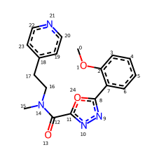 COc1ccccc1-c1nnc(C(=O)N(C)CCc2ccncc2)o1